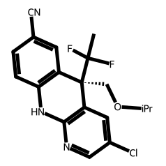 CC(C)OC[C@@]1(C(C)(F)F)c2cc(C#N)ccc2Nc2ncc(Cl)cc21